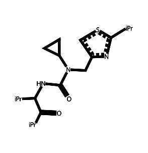 CC(C)C(=O)C(NC(=O)N(Cc1csc(C(C)C)n1)C1CC1)C(C)C